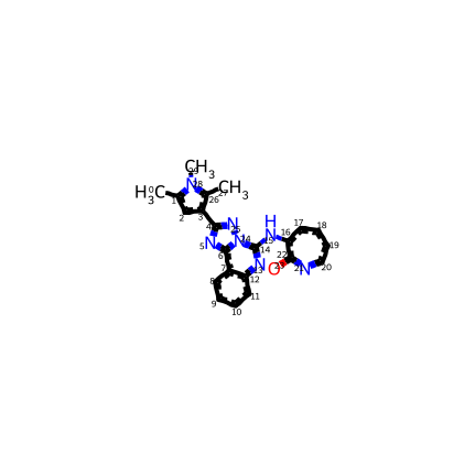 Cc1cc(-c2nc3c4ccccc4nc(Nc4ccccnc4=O)n3n2)c(C)n1C